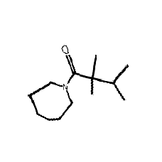 C[C](C)C(C)(C)C(=O)N1CCCCC1